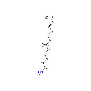 CCCCCCCCC=CCCCCCCCCCN.[Na]